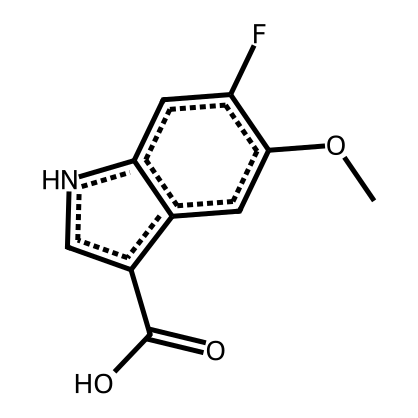 COc1cc2c(C(=O)O)c[nH]c2cc1F